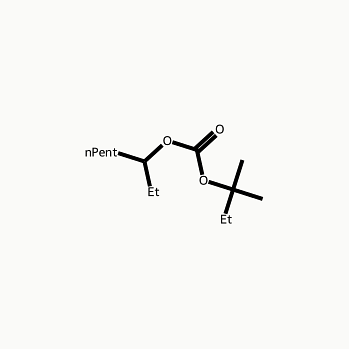 CCCCCC(CC)OC(=O)OC(C)(C)CC